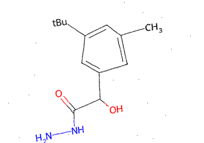 Cc1cc(C(O)C(=O)NN)cc(C(C)(C)C)c1